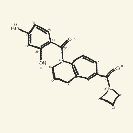 O=C(c1ccc2c(c1)CCCN2C(=O)c1ccc(O)cc1O)N1CCC1